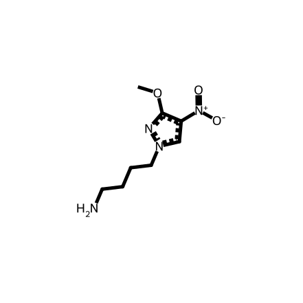 COc1nn(CCCCN)cc1[N+](=O)[O-]